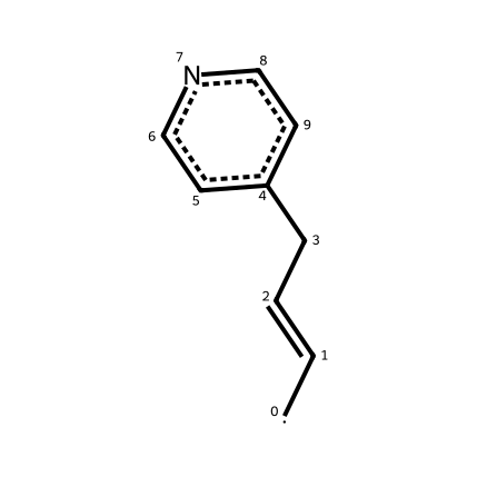 [CH2]C=CCc1ccncc1